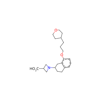 O=C(O)C1CN(C2CCc3cccc(OCCCC4CCOCC4)c3C2)C1